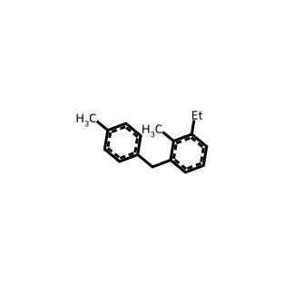 CCc1cccc(Cc2ccc(C)cc2)c1C